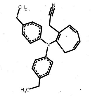 CCc1ccc(N(C2=C(CC#N)C=CC=CC2)c2ccc(CC)cc2)cc1